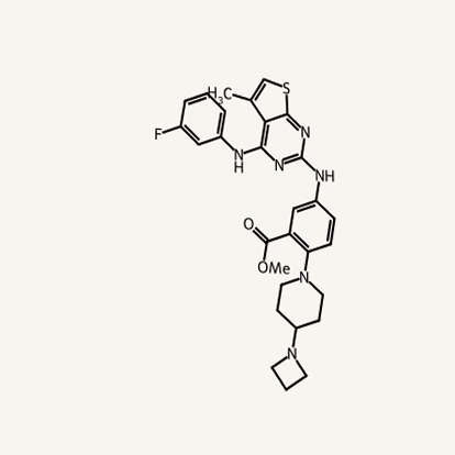 COC(=O)c1cc(Nc2nc(Nc3cccc(F)c3)c3c(C)csc3n2)ccc1N1CCC(N2CCC2)CC1